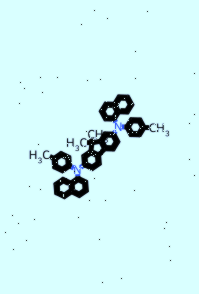 Cc1ccc(N(c2ccc3c(c2)C(C)(C)c2cc(N(c4ccc(C)cc4)c4cccc5ccccc45)ccc2-3)c2cccc3ccccc23)cc1